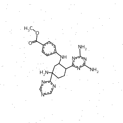 COC(=O)c1ccc(NC2CC(N)(c3ncncn3)CCC2c2nc(N)nc(N)n2)cc1